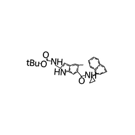 Cc1cc2cc(CNC(=O)OC(C)(C)C)[nH]c2cc1C(=O)NC1(c2cccc3ccccc23)CC1